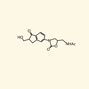 CC(=O)NCC1CN(c2ccc3c(c2)CC(CO)C3=O)C(=O)O1